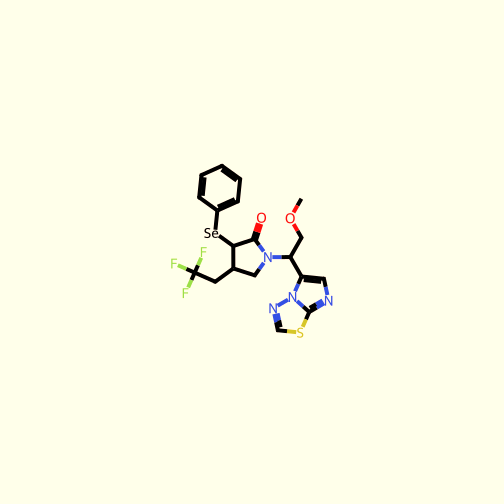 COCC(c1cnc2scnn12)N1CC(CC(F)(F)F)C([Se]c2ccccc2)C1=O